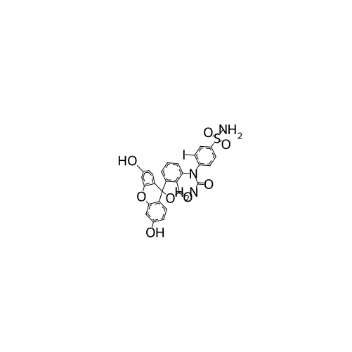 NC(=O)N(c1ccc(S(N)(=O)=O)cc1I)c1cccc2c1C(=O)OC21c2ccc(O)cc2Oc2cc(O)ccc21